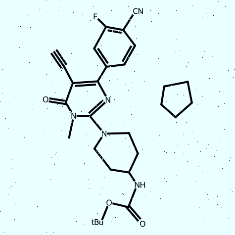 C#Cc1c(-c2ccc(C#N)c(F)c2)nc(N2CCC(NC(=O)OC(C)(C)C)CC2)n(C)c1=O.C1CCCC1